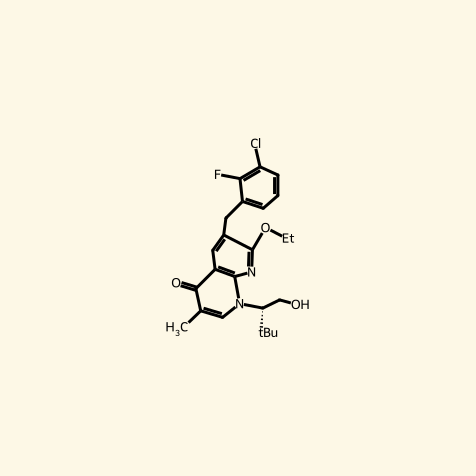 CCOc1nc2c(cc1Cc1cccc(Cl)c1F)c(=O)c(C)cn2[C@H](CO)C(C)(C)C